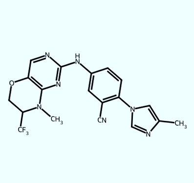 Cc1cn(-c2ccc(Nc3ncc4c(n3)N(C)C(C(F)(F)F)CO4)cc2C#N)cn1